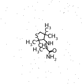 C[C@@H](NC1C(C)(C)CSC1(C)C)C(N)=O